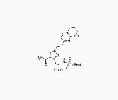 CCCCCS(=O)(=O)N[C@@H](Cc1nn(CCc2ccc3c(n2)NCCC3)cc1C(N)=O)C(=O)O